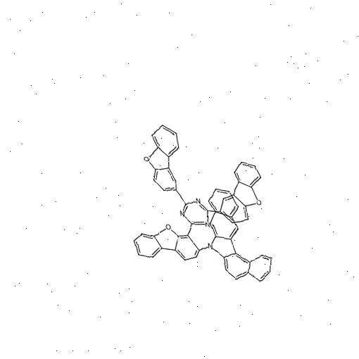 c1ccc2cc3c(cc2c1)c1c2ccccc2ccc1n3-c1ccc2c(oc3ccccc32)c1-c1nc(-c2ccc3oc4ccccc4c3c2)nc(-c2ccc3oc4ccccc4c3c2)n1